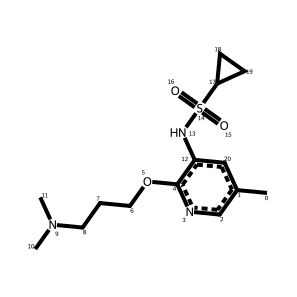 Cc1cnc(OCCCN(C)C)c(NS(=O)(=O)C2CC2)c1